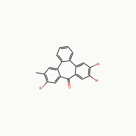 Cc1cc2c(cc1Br)c(=O)c1cc(Br)c(Br)cc1c1ccccc21